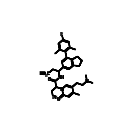 Cc1cc(=O)n(C(CC(C)C)C(=O)NC(CC(=O)O)c2cc3c(c(-c4c(C)cc(F)cc4C)c2)CCC3)cc1CCN(C)C